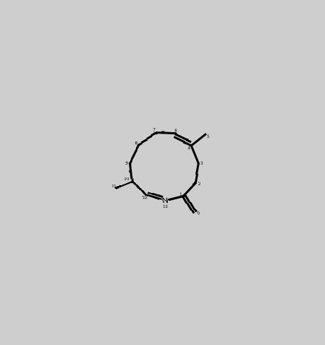 C=C1CC/C(C)=C\CCCC(C)/C=N\1